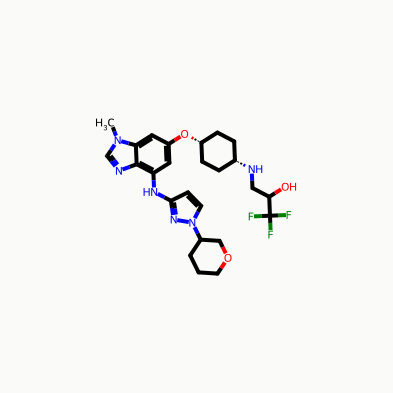 Cn1cnc2c(Nc3ccn(C4CCCOC4)n3)cc(O[C@H]3CC[C@@H](NCC(O)C(F)(F)F)CC3)cc21